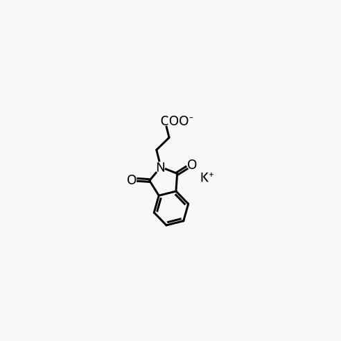 O=C([O-])CCN1C(=O)c2ccccc2C1=O.[K+]